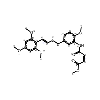 COC(=O)/C=C\C(=O)Nc1cc(CS/C=C/c2c(OC)cc(OC)cc2OC)ccc1OC